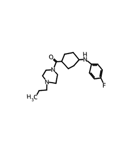 CCCN1CCN(C(=O)C2CCC(Nc3ccc(F)cc3)CC2)CC1